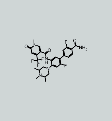 CC1CN(c2cc(F)c(-c3ccc(C(N)=O)c(F)c3)cc2NC(=O)c2c[nH]c(=O)cc2C(F)(F)F)CC(C)N1C